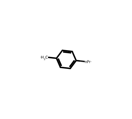 [CH2]c1ccc([CH]CC)cc1